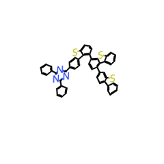 c1ccc(-c2nc(-c3ccccc3)nc(-c3ccc4c(c3)sc3cccc(-c5ccc(-c6ccc7c(c6)sc6ccccc67)c6c5sc5ccccc56)c34)n2)cc1